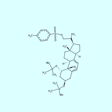 Cc1ccc(S(=O)(=O)OCC(C)[C@H]2CC[C@H]3C4=CC=C5C[C@@H](O[Si](C)(C)C(C)(C)C)C[C@H](O[Si](C)(C)C(C)(C)C)[C@]5(C)[C@H]4CC[C@]23C)cc1